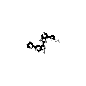 Cc1ccc(-c2cncc3[nH]c(-c4n[nH]c5cnc(-c6ccccn6)cc45)nc23)s1